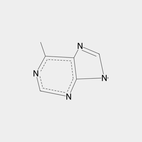 Cc1ncnc2c1N=C[N]2